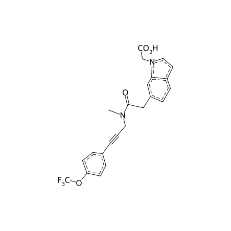 CN(CC#Cc1ccc(OC(F)(F)F)cc1)C(=O)Cc1ccc2ccn(CC(=O)O)c2c1